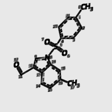 Cc1ccc(S(=O)(=O)n2cc(C=O)c3ccc(C)cc32)cc1